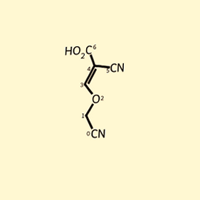 N#CCO/C=C(\C#N)C(=O)O